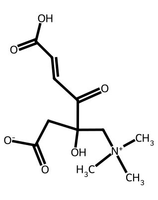 C[N+](C)(C)CC(O)(CC(=O)[O-])C(=O)/C=C/C(=O)O